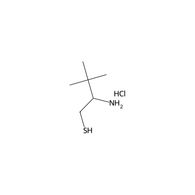 CC(C)(C)C(N)CS.Cl